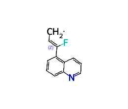 [CH2]/C=C(\F)c1cccc2ncccc12